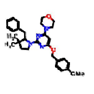 COc1ccc(COc2cc(N3CCOCC3)nc(N3CCC(C)(C)C3Cc3ccccc3)n2)cc1